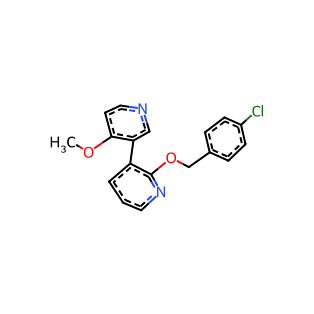 COc1ccncc1-c1cccnc1OCc1ccc(Cl)cc1